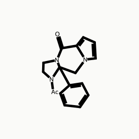 CC(=O)N1CCN2C(=O)c3cccn3CC12c1ccccc1